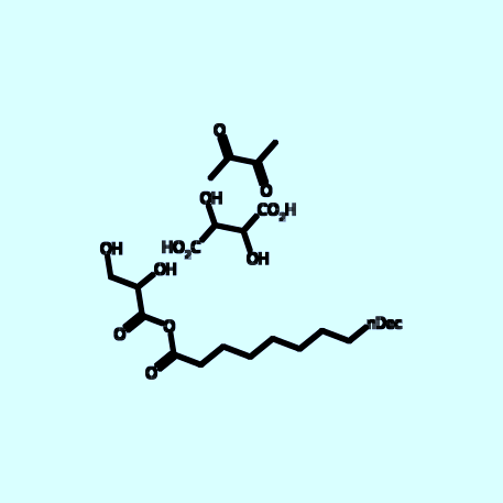 CC(=O)C(C)=O.CCCCCCCCCCCCCCCCCC(=O)OC(=O)C(O)CO.O=C(O)C(O)C(O)C(=O)O